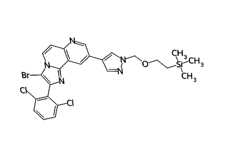 C[Si](C)(C)CCOCn1cc(-c2cnc3ccn4c(Br)c(-c5c(Cl)cccc5Cl)nc4c3c2)cn1